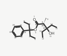 CCC(CC)(OC(=O)[C@H](C)C(O)(CC)CC)c1ccccc1